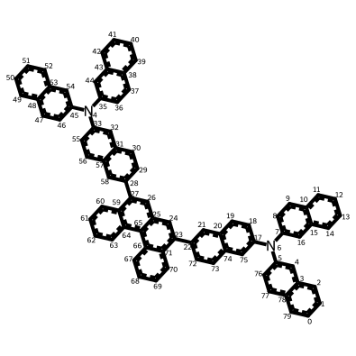 c1ccc2cc(N(c3ccc4ccccc4c3)c3ccc4cc(-c5cc6cc(-c7ccc8cc(N(c9ccc%10ccccc%10c9)c9ccc%10ccccc%10c9)ccc8c7)c7ccccc7c6c6ccccc56)ccc4c3)ccc2c1